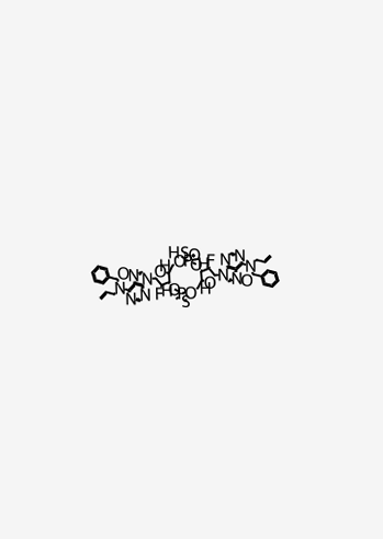 C=CCN(C(=O)c1ccccc1)c1ncnc2c1ncn2C1O[C@@H]2COP(C)(=S)O[C@@H]3[C@@H](COP(=O)(S)O[C@H]2[C@H]1F)OC(n1cnc2c(N(CC=C)C(=O)c4ccccc4)ncnc21)[C@@H]3F